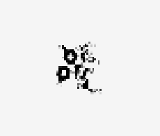 CNC(=O)C[C@@H]1O[C@H](c2cccc(Cl)c2)[C@@H](c2ccc(Cl)cc2)N([C@@H](C)CS(=O)(=O)C(C)(C)C)C1=O